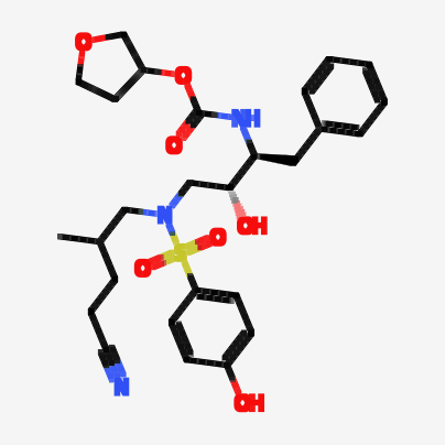 CC(CCC#N)CN(C[C@@H](O)[C@H](Cc1ccccc1)NC(=O)OC1CCOC1)S(=O)(=O)c1ccc(O)cc1